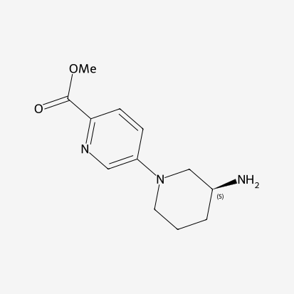 COC(=O)c1ccc(N2CCC[C@H](N)C2)cn1